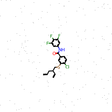 C=CCC(C=C)CSc1cc(C(=O)Nc2cc(F)c(F)c(F)c2)ccc1Cl